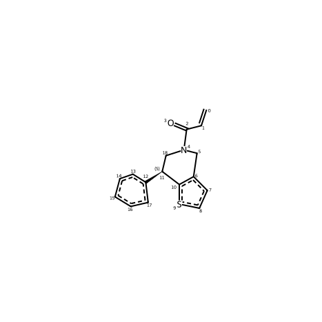 C=CC(=O)N1Cc2ccsc2[C@@H](c2ccccc2)C1